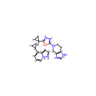 CC1(c2nnc(N3CCc4[nH]cnc4[C@@H]3c3cc4c(C5CC5)cccn4n3)o2)CC1